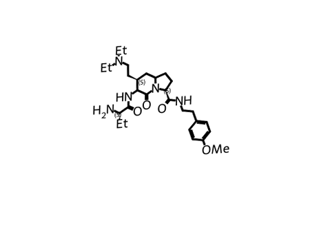 CC[C@H](N)C(=O)NC1C(=O)N2C(CC[C@H]2C(=O)NCCc2ccc(OC)cc2)C[C@@H]1CCN(CC)CC